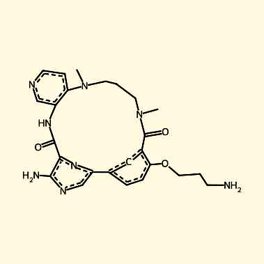 CN1CCCN(C)c2ccncc2NC(=O)c2nc(cnc2N)-c2ccc(OCCCN)c(c2)C1=O